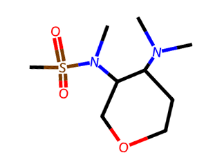 CN(C)C1CCOCC1N(C)S(C)(=O)=O